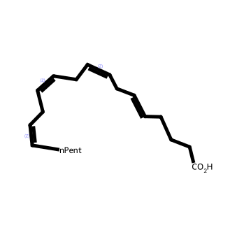 CCCCC/C=C\C/C=C\C/C=C\CC=CCCCC(=O)O